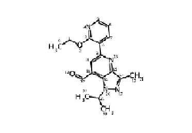 CCOc1ncccc1-c1cc(C=O)c2c(n1)c(C)nn2C(C)C